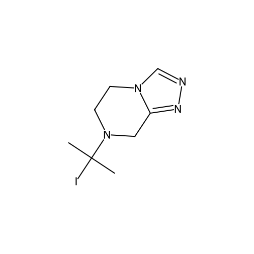 CC(C)(I)N1CCn2cnnc2C1